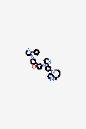 C=C1/C=C\C=C/CN(c2ccc3c(c2)c2ncccc2n3-c2ccc3oc4ccc(-n5c6ccccc6c6ncccc65)cc4c3c2)c2cccnc21